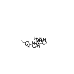 CCc1ccc(-c2ccc3nc(-c4cccnc4N)n(O)c3n2)nc1